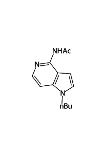 CCCCn1ccc2c(NC(C)=O)nccc21